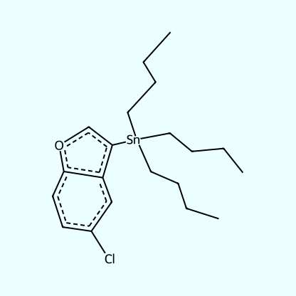 CCC[CH2][Sn]([CH2]CCC)([CH2]CCC)[c]1coc2ccc(Cl)cc12